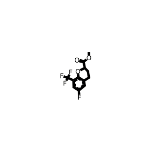 COC(=O)C1CCc2cc(F)cc(C(F)(F)F)c2O1